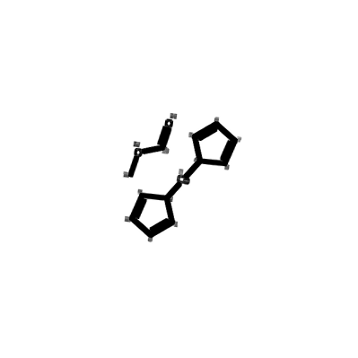 C1=C[CH]([Co][CH]2C=CC=C2)C=C1.CO[C]=O